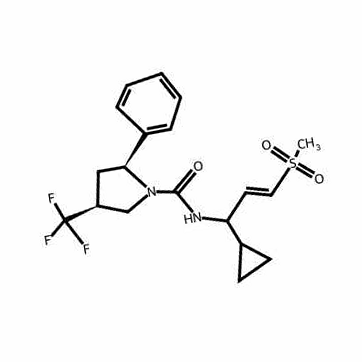 CS(=O)(=O)/C=C/C(NC(=O)N1C[C@@H](C(F)(F)F)C[C@H]1c1ccccc1)C1CC1